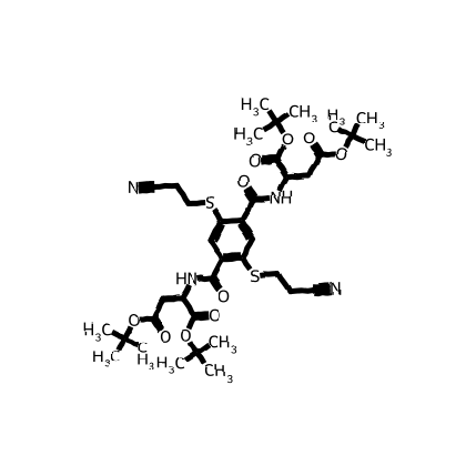 CC(C)(C)OC(=O)CC(NC(=O)c1cc(SCCC#N)c(C(=O)NC(CC(=O)OC(C)(C)C)C(=O)OC(C)(C)C)cc1SCCC#N)C(=O)OC(C)(C)C